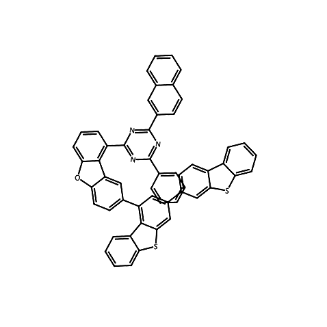 c1ccc(-c2nc(-c3ccc4ccccc4c3)nc(-c3cccc4oc5ccc(-c6cc(-c7ccc8c(c7)sc7ccccc78)cc7sc8ccccc8c67)cc5c34)n2)cc1